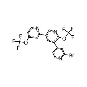 FC(F)(F)Oc1ccnc(-c2[c]c(-c3ccnc(Br)c3)c(OC(F)(F)F)nc2)c1